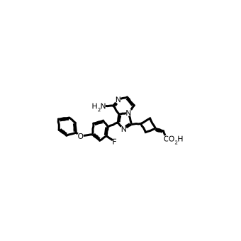 Nc1nccn2c(C3CC(=CC(=O)O)C3)nc(-c3ccc(Oc4ccccc4)cc3F)c12